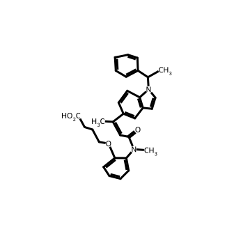 CC(=CC(=O)N(C)c1ccccc1OCCCC(=O)O)c1ccc2c(ccn2C(C)c2ccccc2)c1